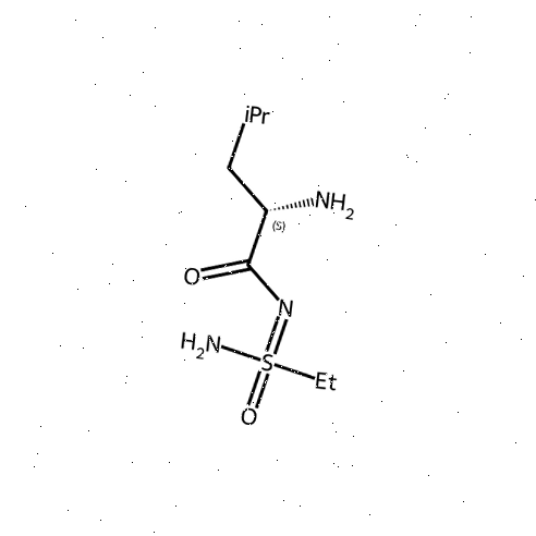 CCS(N)(=O)=NC(=O)[C@@H](N)CC(C)C